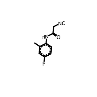 [C-]#[N+]CC(=O)Nc1ccc(F)cc1C